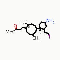 COC(=O)CCC1CCC(C)CC(C2(C)CC[C@H](N)CC2CCI)CC[C@@H]1C